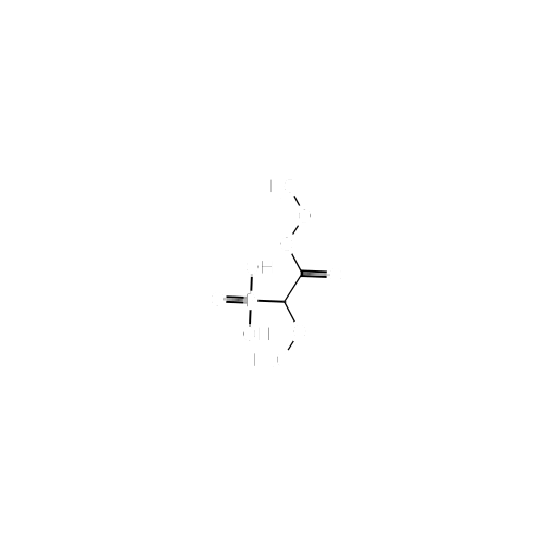 COOC(=O)C(OC)P(=O)(O)O